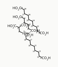 CCCCCCCCCCCC(C(=O)O)C(=O)O.O=C(O)CCCCC(=O)O.O=C(O)CCCCCCCC(=O)O.O=C(O)CCCCCCCCC(=O)O